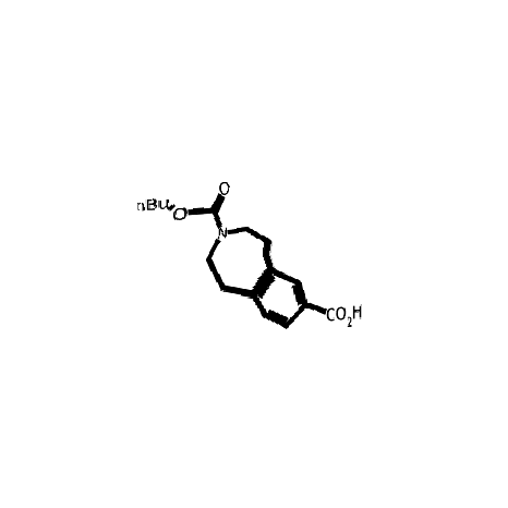 CCCCOC(=O)N1CCc2ccc(C(=O)O)cc2CC1